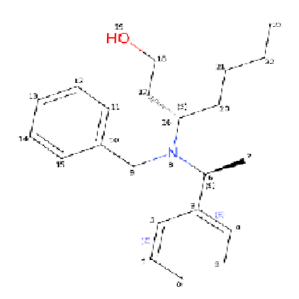 C/C=C\C(=C/C)[C@H](C)N(Cc1ccccc1)[C@H](CCO)CCCC